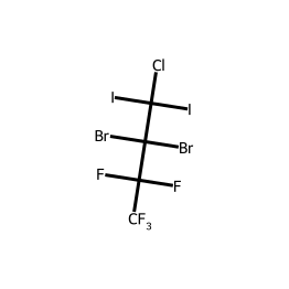 FC(F)(F)C(F)(F)C(Br)(Br)C(Cl)(I)I